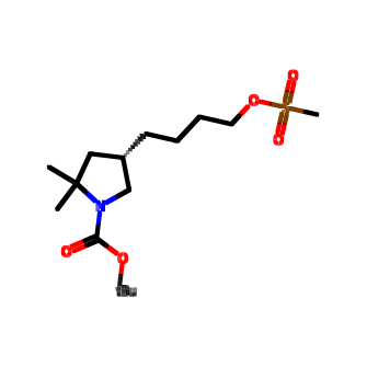 CC(C)(C)OC(=O)N1C[C@@H](CCCCOS(C)(=O)=O)CC1(C)C